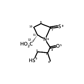 CC(CS)C(=O)N1C(=S)CC[C@H]1C(=O)O